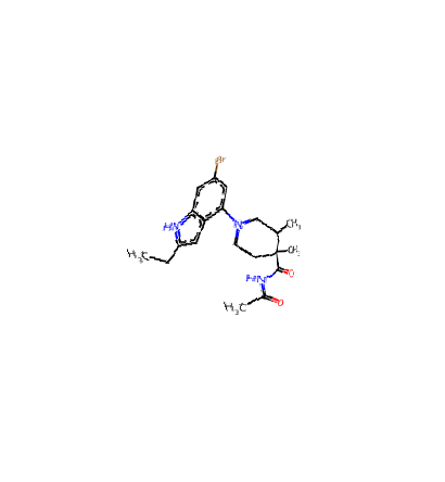 CCc1cc2c(N3CCC(C)(C(=O)NC(C)=O)C(C)C3)cc(Br)cc2[nH]1